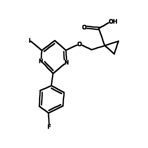 O=C(O)C1(COc2cc(I)nc(-c3ccc(F)cc3)n2)CC1